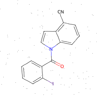 N#Cc1cccc2c1ccn2C(=O)c1ccccc1I